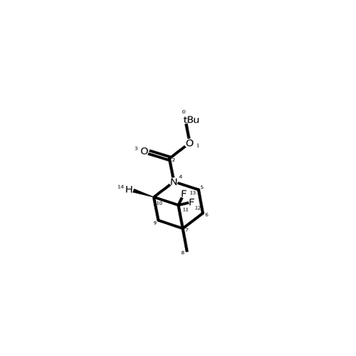 CC(C)(C)OC(=O)N1CCC2(C)C[C@H]1C2(F)F